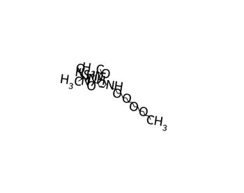 CCCOCCOCCOCCOCCNc1ccc(C(=O)Nc2nc(C)c(N=O)s2)c(NC(C)=O)c1